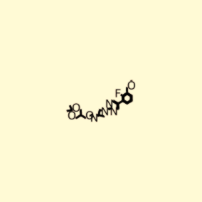 COCc1cccc(-c2cnc(N3CC(=NOCC4COC(C)(C)OC4)C3)nc2)c1F